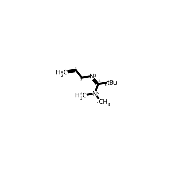 C=CCN=C(N(C)C)C(C)(C)C